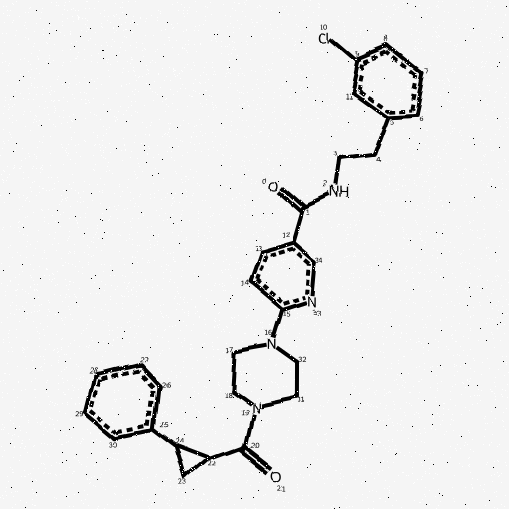 O=C(NCCc1cccc(Cl)c1)c1ccc(N2CCN(C(=O)C3CC3c3ccccc3)CC2)nc1